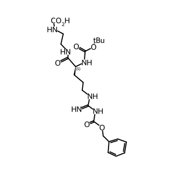 CC(C)(C)OC(=O)N[C@@H](CCCNC(=N)NC(=O)OCc1ccccc1)C(=O)NCCNC(=O)O